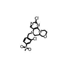 CS(=O)(=O)c1ccc(CN2CC3COCCN3c3nc(Cl)ncc32)c(Cl)c1